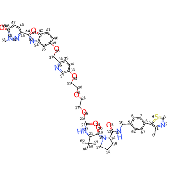 Cc1ncsc1-c1ccc(CNC(=O)[C@H]2CCCN2C(=O)[C@H](NC(=O)COCCOCCOc2ccc(COc3ccc4oc(-c5ccc(=O)n(C)n5)nc4c3)nc2)C(C)(C)C)cc1